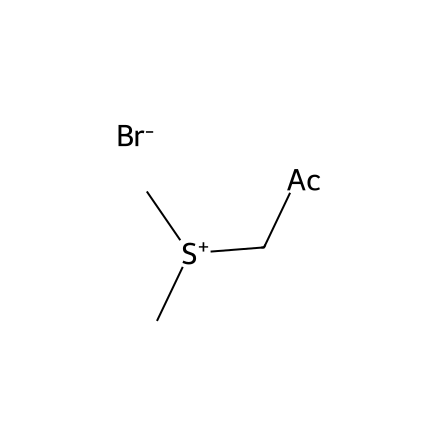 CC(=O)C[S+](C)C.[Br-]